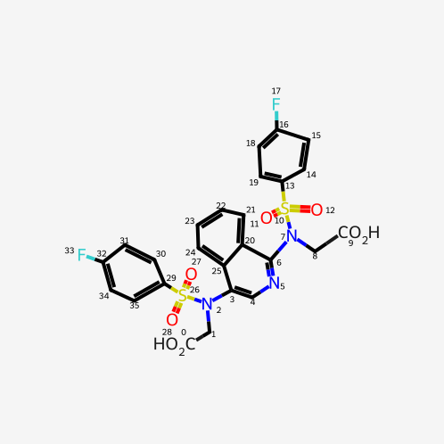 O=C(O)CN(c1cnc(N(CC(=O)O)S(=O)(=O)c2ccc(F)cc2)c2ccccc12)S(=O)(=O)c1ccc(F)cc1